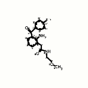 COCCNC(=O)Cc1cccc(C(=O)c2ccc(F)cc2)c1N